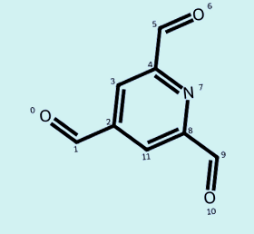 O=Cc1cc(C=O)nc(C=O)c1